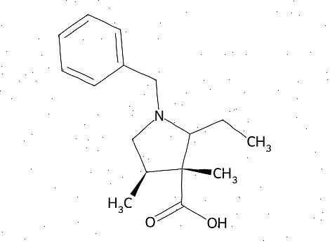 CCC1N(Cc2ccccc2)C[C@H](C)[C@@]1(C)C(=O)O